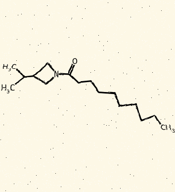 CCCCCCCCCC(=O)N1CC(C(C)C)C1